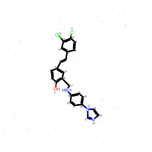 Oc1ccc(/C=C/c2ccc(Cl)c(Cl)c2)cc1CNc1ccc(-n2ccnc2)cc1